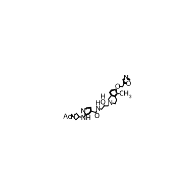 CC(=O)N1CC(Nc2cc(C(=O)NCC(O)CN3CCc4c(ccc(OCc5cnco5)c4C)C3)ccn2)C1